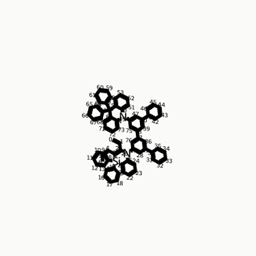 C=CC1=C(/C=C\C)[Si](c2ccccc2)(c2ccccc2)c2ccccc2N1c1cc(-c2ccccc2)cc(-c2cc(-c3ccccc3)cc(N3c4ccccc4C(c4ccccc4)(c4ccccc4)c4ccccc43)c2)c1